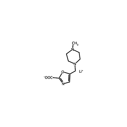 CN1CCN(Cc2cnc(C(=O)[O-])o2)CC1.[Li+]